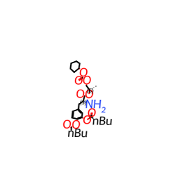 CCCCC(=O)Oc1ccc(C[C@H](N)C(=O)O[C@@H](C)COC(=O)OC2CCCCC2)cc1OC(=O)CCCC